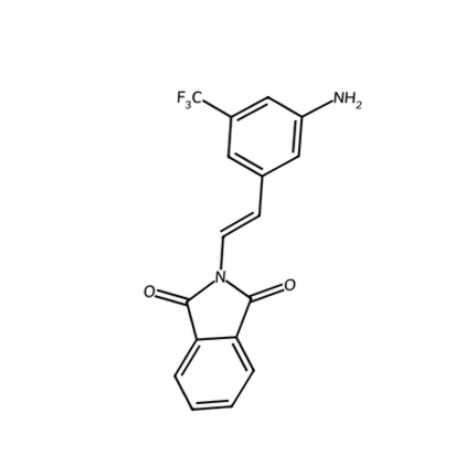 Nc1cc(C=CN2C(=O)c3ccccc3C2=O)cc(C(F)(F)F)c1